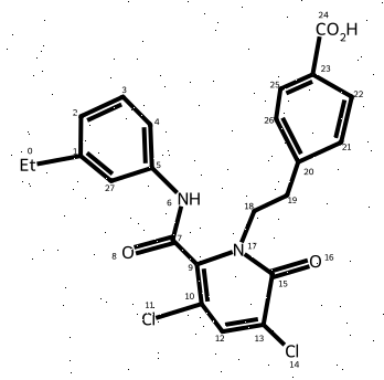 CCc1cccc(NC(=O)c2c(Cl)cc(Cl)c(=O)n2CCc2ccc(C(=O)O)cc2)c1